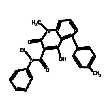 CCN(C(=O)c1c(O)c2c(-c3ccc(C)cc3)cccc2n(C)c1=O)c1ccccc1